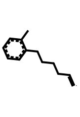 [CH]=CCCCCc1ccccc1C